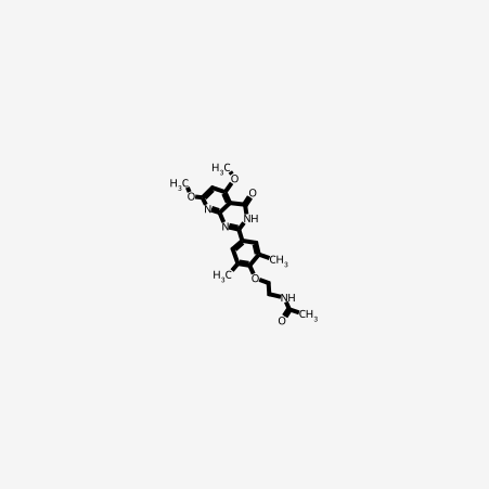 COc1cc(OC)c2c(=O)[nH]c(-c3cc(C)c(OCCNC(C)=O)c(C)c3)nc2n1